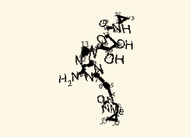 CNC(=O)N(CC#Cc1nc(N)c2ncn([C@@H]3O[C@H](C(=O)NC4CC4)C(O)[C@@H]3O)c2n1)CC1CC1